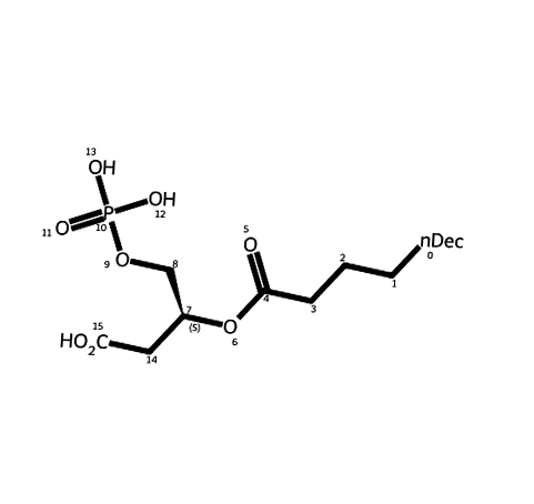 CCCCCCCCCCCCCC(=O)O[C@H](COP(=O)(O)O)CC(=O)O